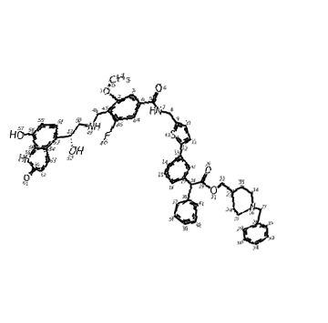 COc1cc(C(=O)NCc2ccc(-c3cccc(C(C(=O)OCC4CCN(Cc5ccccc5)CC4)c4ccccc4)c3)s2)cc(F)c1CNC[C@H](O)c1ccc(O)c2[nH]c(=O)ccc12